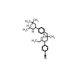 CCNC(CC(C)(C)C)c1ccc(CC(C)(C)CC(NCC)c2ccc(C#N)cc2)cc1